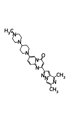 Cc1cn2nc(-c3cc(=O)n4cc(N5CCC(N6CCN(C)CC6)CC5)ccc4n3)cc2c(C)n1